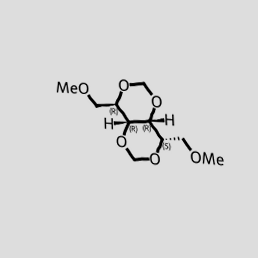 COC[C@@H]1OCO[C@H]2[C@@H]1OCO[C@@H]2COC